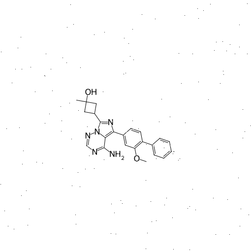 COc1cc(-c2nc(C3CC(C)(O)C3)n3ncnc(N)c23)ccc1-c1cc[c]cc1